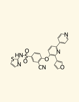 N#Cc1cc(S(=O)(=O)Nc2nccs2)ccc1Oc1ccc(-c2ccncc2)nc1-c1ccoc1